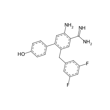 N=C(N)c1cc(Cc2cc(F)cc(F)c2)c(-c2ccc(O)cc2)cc1N